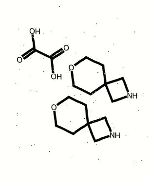 C1CC2(CCO1)CNC2.C1CC2(CCO1)CNC2.O=C(O)C(=O)O